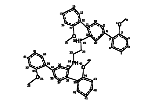 COc1ccccc1-c1ccc(-c2ccccc2OC)c(PCCPc2cc(-c3ccccc3OC)ccc2-c2ccccc2OC)c1